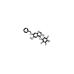 COc1cc2c(Oc3c(F)c(F)c(F)c(F)c3F)ncnc2cc1OCc1ccccc1